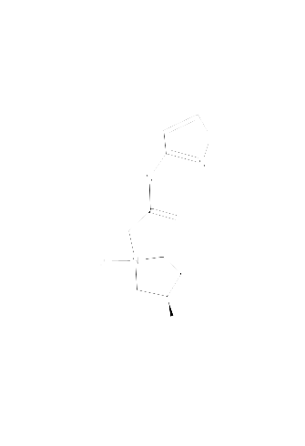 C[C@@H]1CC[N+](C)(CC(=O)Nc2ccon2)C1